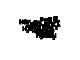 CC(c1nc2cccc(Cl)c2c(=O)n1-c1cccc(NC(=O)NC(C)(C)CCO)c1)N(C(=O)O)C(C)(C)C